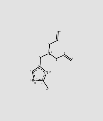 C=CCN(CC=C)Cc1c[nH]c(C)n1